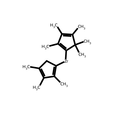 CC1=C(C)C(C)=[C]([Zr][C]2=C(C)C(C)=C(C)C2(C)C)C1